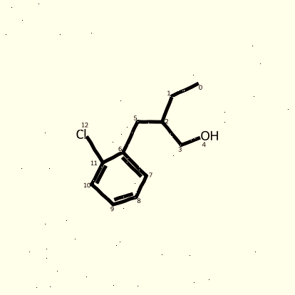 CCC(CO)Cc1ccccc1Cl